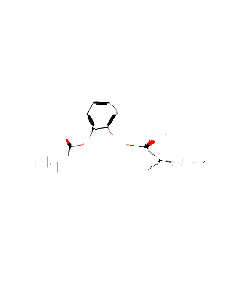 CCCCCCCC(=O)Oc1ccccc1OC(=O)C(C)CCCCCC